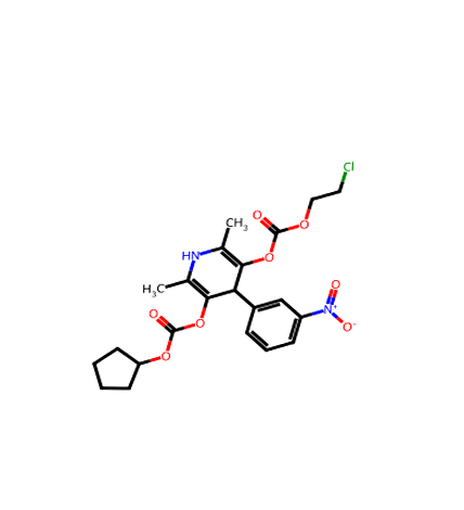 CC1=C(OC(=O)OCCCl)C(c2cccc([N+](=O)[O-])c2)C(OC(=O)OC2CCCC2)=C(C)N1